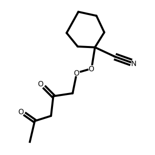 CC(=O)CC(=O)COOC1(C#N)CCCCC1